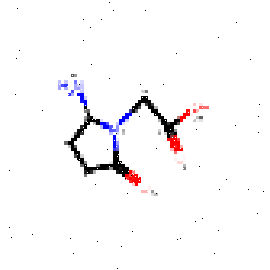 N[C@@H]1CCC(=O)N1CC(=O)O